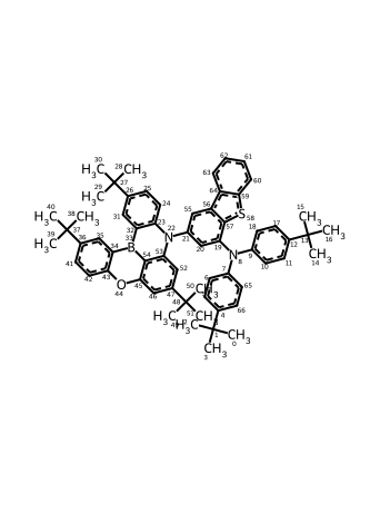 CC(C)(C)c1ccc(N(c2ccc(C(C)(C)C)cc2)c2cc(N3c4ccc(C(C)(C)C)cc4B4c5cc(C(C)(C)C)ccc5Oc5cc(C(C)(C)C)cc3c54)cc3c2sc2ccccc23)cc1